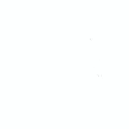 CCCCCCc1cccc(SC(N)=S)c1CCCCCC.[Mo]